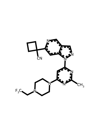 Cc1nc(N2CCN(CC(F)(F)F)CC2)cc(-n2ncc3cnc(C4(C#N)CCC4)cc32)n1